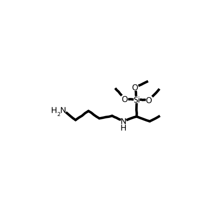 CCC(NCCCCN)[Si](OC)(OC)OC